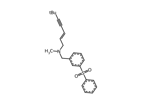 CN(C/C=C/C#CC(C)(C)C)Cc1cccc(S(=O)(=O)c2ccccc2)c1